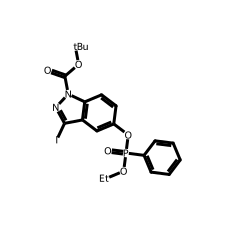 CCOP(=O)(Oc1ccc2c(c1)c(I)nn2C(=O)OC(C)(C)C)c1ccccc1